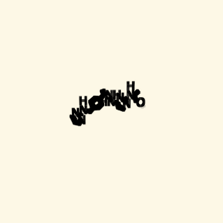 C=C(NNc1ccnc(NC(C)COC)n1)c1ccc(CNc2ncccn2)cc1